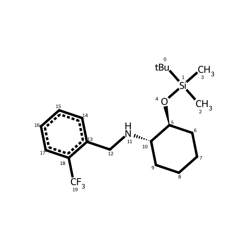 CC(C)(C)[Si](C)(C)O[C@H]1CCCC[C@@H]1NCc1ccccc1C(F)(F)F